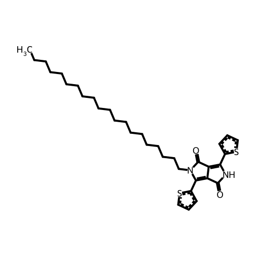 CCCCCCCCCCCCCCCCCCCCN1C(=O)C2=C(c3cccs3)NC(=O)C2=C1c1cccs1